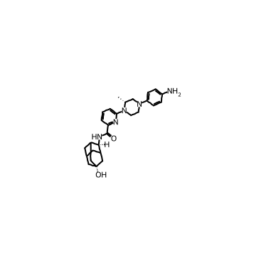 C[C@@H]1CN(c2ccc(N)cc2)CCN1c1cccc(C(=O)N[C@H]2C3CC4CC2C[C@](O)(C4)C3)n1